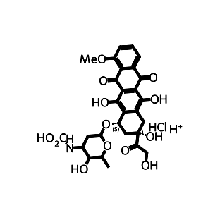 COc1cccc2c1C(=O)c1c(O)c3c(c(O)c1C2=O)C[C@@](O)(C(=O)CO)C[C@@H]3OC1CC(NC(=O)O)C(O)C(C)O1.Cl.[H+]